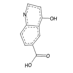 O=C(O)c1ccc2nccc(O)c2c1